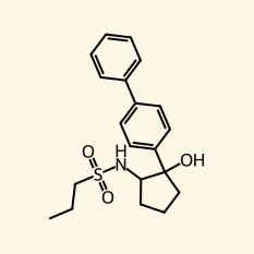 CCCS(=O)(=O)NC1CCCC1(O)c1ccc(-c2ccccc2)cc1